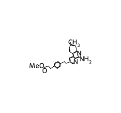 COC(=O)CCc1ccc(CCc2cnc3c(N)nc4c(c3c2)C=CC(C)=CC4)cc1